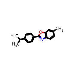 Cc1ccc2nc(-c3ccc(C(C)C)cc3)oc2c1